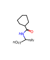 CCCCCCCCC(CCC)NC(=O)C1CCCCC1